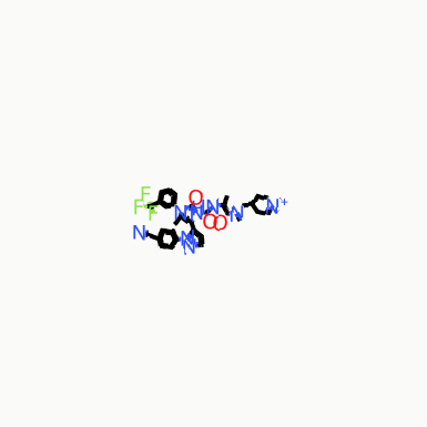 Cc1c(-c2ccnn2-c2ccc(C#N)cc2)n(C(=O)NC(C)C(=O)N(C)CC2CC[N+](C)(C)CC2)c(=O)n1-c1cccc(C(F)(F)F)c1